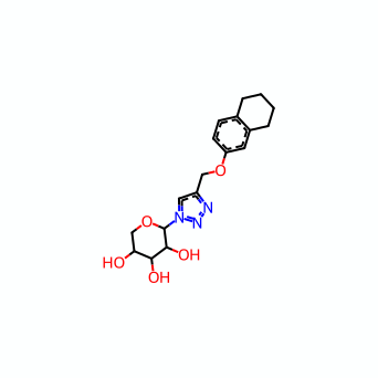 OC1COC(n2cc(COc3ccc4c(c3)CCCC4)nn2)C(O)C1O